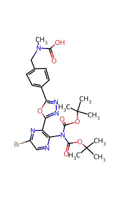 CN(Cc1ccc(-c2nnc(-c3nc(Br)cnc3N(C(=O)OC(C)(C)C)C(=O)OC(C)(C)C)o2)cc1)C(=O)O